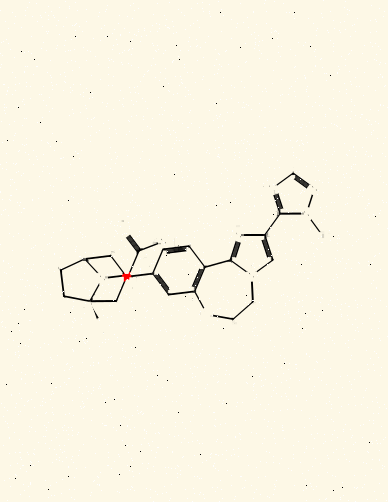 CC(C)n1ncnc1-c1cn2c(n1)-c1ccc(C3CC4CC[C@@H](C3)N4CC(N)=O)cc1OCC2